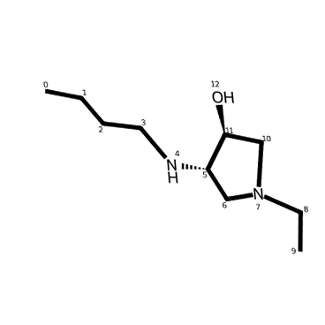 CCCCN[C@H]1CN(CC)C[C@@H]1O